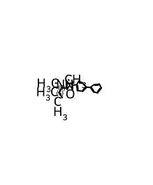 CC[C@H](C)[C@H](NC)C(=O)N(C)c1ccc(-c2ccccc2)cc1